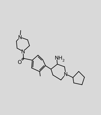 Cc1cc(C(=O)N2CCN(C)CC2)ccc1C1CCN(C2CCCC2)CC1N